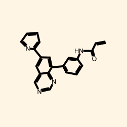 C=CC(=O)Nc1cccc(-c2cc(-c3ccccn3)cc3cncnc23)c1